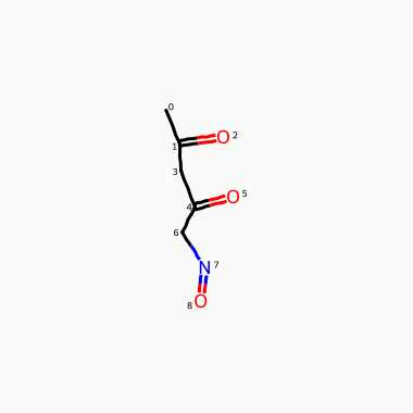 CC(=O)CC(=O)CN=O